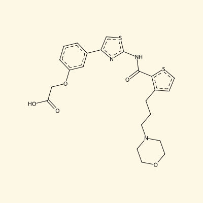 O=C(O)COc1cccc(-c2csc(NC(=O)c3sccc3CCCN3CCOCC3)n2)c1